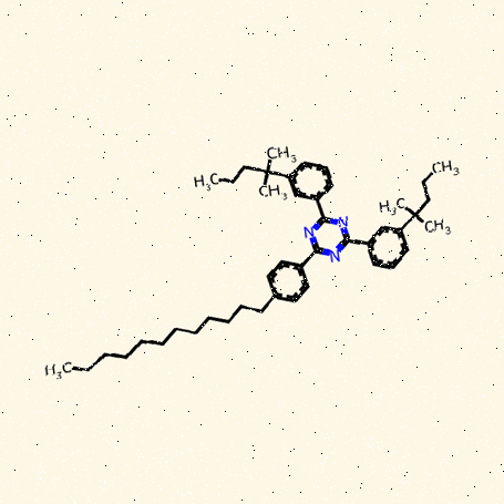 CCCCCCCCCCCCc1ccc(-c2nc(-c3cccc(C(C)(C)CCC)c3)nc(-c3cccc(C(C)(C)CCC)c3)n2)cc1